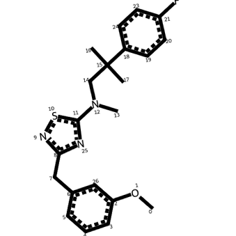 COc1cccc(Cc2nsc(N(C)CC(C)(C)c3ccc(F)cc3)n2)c1